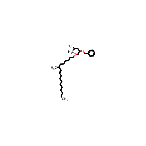 CCCCCCCCC/C=C/C(C)CCCCCCOCC(CC(C)C)OCc1ccccc1